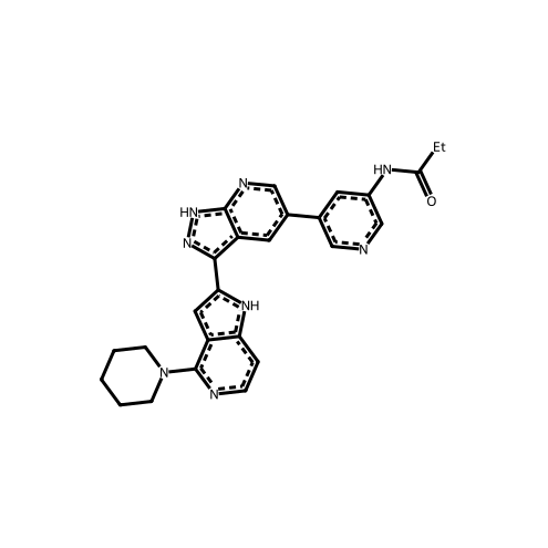 CCC(=O)Nc1cncc(-c2cnc3[nH]nc(-c4cc5c(N6CCCCC6)nccc5[nH]4)c3c2)c1